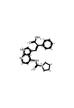 NC(=O)C(=Cc1c[nH]c2nccc(NC(=O)N3CCCC3)c12)c1ccccc1